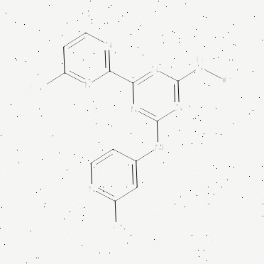 CC(C)Nc1nc(Nc2ccnc(C#N)c2)nc(-c2nccc(C(F)(F)F)n2)n1